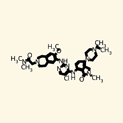 COc1cc2c(cc1Nc1ncc(Cl)c(Nc3ccc(N4CCN(C(C)C)CC4)c4c3C(=O)N(C)C4)n1)CCN(CC(=O)N(C)C)CC2